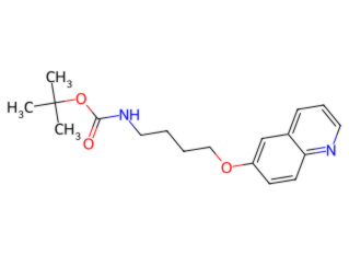 CC(C)(C)OC(=O)NCCCCOc1ccc2ncccc2c1